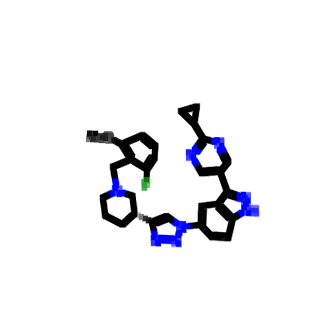 COc1cccc(F)c1CN1CCC[C@@H](c2cn(-c3ccc4[nH]nc(-c5cnc(C6CC6)nc5)c4c3)nn2)C1